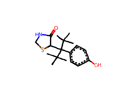 CC(C)(C)C(c1ccc(O)cc1)(C1SCNC1=O)C(C)(C)C